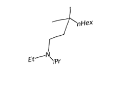 CCCCCCC(C)(C)CCN(CC)C(C)C